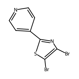 Brc1nc(-c2ccncc2)sc1Br